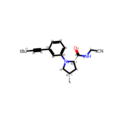 C[C@H]1C[C@@H](C(=O)NCC#N)N(c2cccc(C#CC(C)(C)C)c2)C1